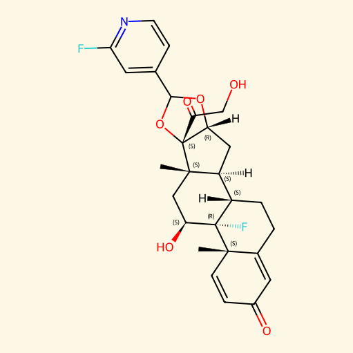 C[C@]12C=CC(=O)C=C1CC[C@H]1[C@@H]3C[C@H]4OC(c5ccnc(F)c5)O[C@@]4(C(=O)CO)[C@@]3(C)C[C@H](O)[C@@]12F